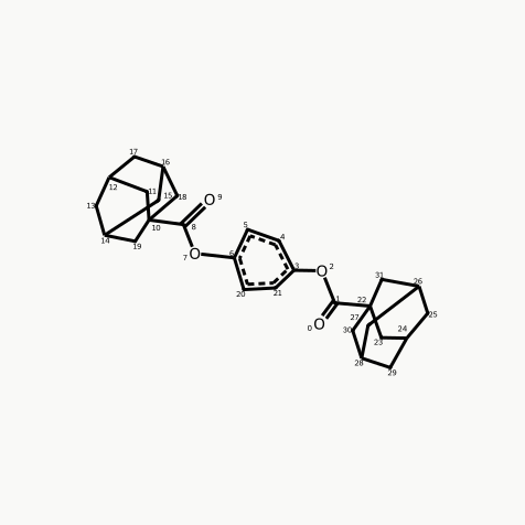 O=C(Oc1ccc(OC(=O)C23CC4CC(CC(C4)C2)C3)cc1)C12CC3CC(CC(C3)C1)C2